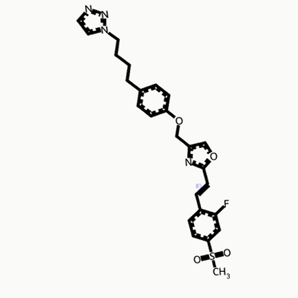 CS(=O)(=O)c1ccc(/C=C/c2nc(COc3ccc(CCCCn4ccnn4)cc3)co2)c(F)c1